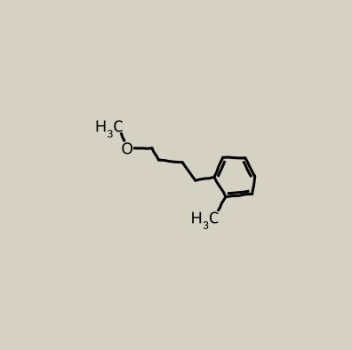 COCCCCc1ccccc1C